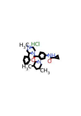 CC1CC(C)CN(c2cc(NC(=O)C3CC3)ccc2C(=O)N2CCN(C)CC2c2ccccc2)C1.Cl